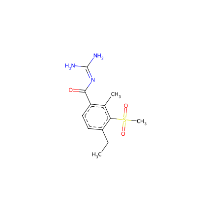 CCc1ccc(C(=O)N=C(N)N)c(C)c1S(C)(=O)=O